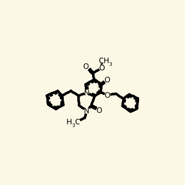 CCN1CC(Cc2ccccc2)n2cc(C(=O)OC)c(=O)c(OCc3ccccc3)c2C1=O